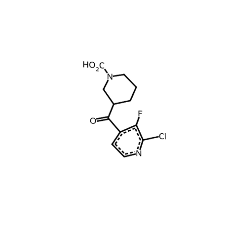 O=C(c1ccnc(Cl)c1F)C1CCCN(C(=O)O)C1